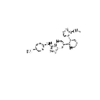 Cn1nccc1-c1cccnc1-c1cnn2c(Nc3ccc(C(F)(F)F)cc3)nnc2c1